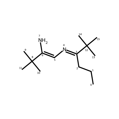 CCC/C(=N\C=C(/N)C(C)(C)C)C(C)(C)C